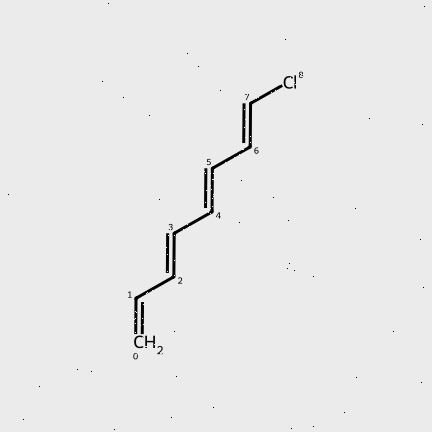 C=CC=CC=CC=CCl